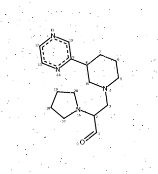 O=CC(CN1CCCC(c2cnccn2)C1)N1CCCC1